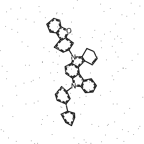 C1=Cc2c(n(-c3ccc4c(c3)oc3ccccc34)c3ccc4c(c5ccccc5n4-c4cccc(-c5ccccc5)c4)c23)CC1